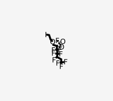 O=S(=O)(F)C(COCCI)C(F)(F)C(F)(F)C(F)CC(F)(F)F